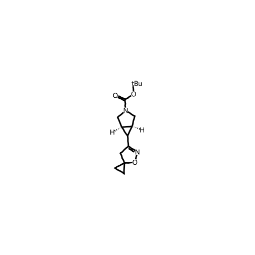 CC(C)(C)OC(=O)N1C[C@@H]2C(C3=NOC4(CC4)C3)[C@@H]2C1